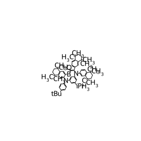 CC(C)c1cc2c3c(c1)N(c1ccc4c(c1)C(C)(C)CCC4(C)C)c1c(oc4cc5c(cc14)C(C)(C)CCC5(C)C)B3c1cc3c(cc1N2c1ccc(C(C)(C)C)cc1)C(C)(C)CCC3(C)C